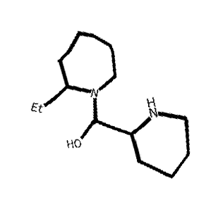 CCC1CCCCN1C(O)C1CCCCN1